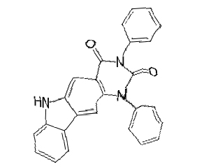 O=c1c2cc3[nH]c4ccccc4c3cc2n(-c2ccccc2)c(=O)n1-c1ccccc1